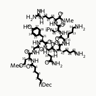 CCCCCCCCCCCCCCCC(=O)N[C@@H](CCOC)C(=O)NCC(=O)N[C@@H](Cc1ccc(O)cc1)C(=O)N[C@@H](CCC(N)=O)C(=O)N[C@@H](CCCCN)C(=O)N[C@@H](CCCCN)C(=O)N[C@@H](CC(C)C)C(=O)N[C@@H](CCCNC(=N)N)C(=O)NC